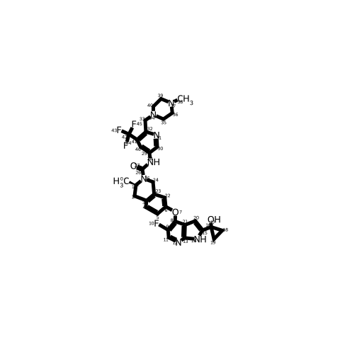 C[C@@H]1Cc2ccc(Oc3c(F)cnc4[nH]c(C5(O)CC5)cc34)cc2CN1C(=O)Nc1cnc(CN2CCN(C)CC2)c(C(F)(F)F)c1